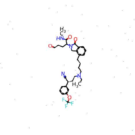 CCN(CCCCc1cccc2c1CN(C(CCC=O)C(=O)NC)C2=O)CC[C@H](C#N)c1cccc(OC(F)(F)F)c1